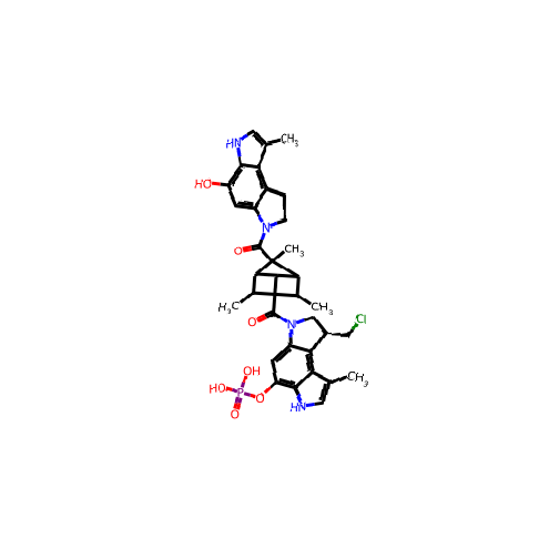 Cc1c[nH]c2c(O)cc3c(c12)CCN3C(=O)C1(C)C2C(C)C3(C(=O)N4C[C@@H](CCl)c5c4cc(OP(=O)(O)O)c4[nH]cc(C)c54)C(C)C1C23